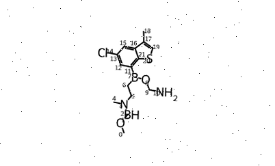 COBN(C)CCB(OCN)c1cc(Cl)cc2c(C)csc12